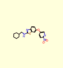 O=[N+]([O-])c1ccc(Oc2ccc3nc(NCC4CCCCC4)sc3c2)cn1